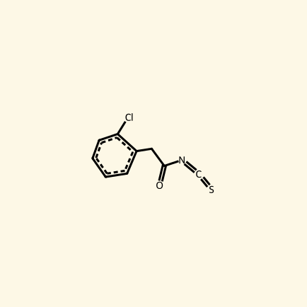 O=C(Cc1ccccc1Cl)N=C=S